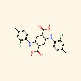 COC(=O)C1=C(Nc2ccc(C)cc2Cl)CC(C(=O)OC)=C(Nc2ccc(C)cc2Cl)C1